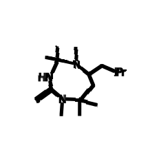 C=C1NC(C)(C)N(C)C(CC(C)C)CC(C)(C)N1C